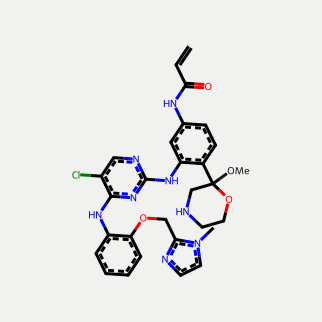 C=CC(=O)Nc1ccc(C2(OC)CNCCO2)c(Nc2ncc(Cl)c(Nc3ccccc3OCc3nccn3C)n2)c1